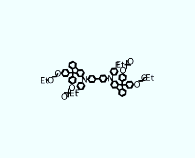 CCOCCOc1ccc(C2(c3ccc(OCC4(CC)COC4)cc3)c3ccccc3-c3ccc(N(c4ccc(F)cc4)c4ccc(-c5ccc(N(c6ccc(F)cc6)c6ccc7c(c6)C(c6ccc(OCCOCC)cc6)(c6ccc(OCC8(CC)COC8)cc6)c6ccccc6-7)cc5)cc4)cc32)cc1